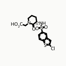 O=C(O)CN1CCC[C@H](NS(=O)(=O)c2ccc3sc(Cl)cc3c2)C1=O